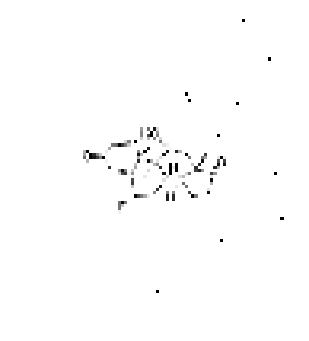 C[C@]12C=CC(=O)C=C1[C@@H](F)C[C@H]1[C@@H]3CCC(=O)[C@@]3(C)C[C@H](O)[C@@]12F